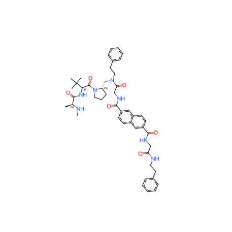 CN[C@@H](C)C(=O)N[C@H](C(=O)N1CCC[C@H]1CN(CCc1ccccc1)C(=O)CNC(=O)c1ccc2cc(C(=O)NCC(=O)NCCc3ccccc3)ccc2c1)C(C)(C)C